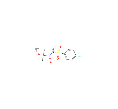 CC(C)OC(C)(C)C(=O)NS(=O)(=O)c1ccc(F)cc1